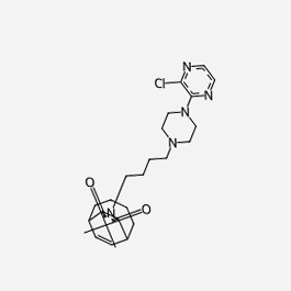 O=C1C2C3C=CC(CCCC3)C2C(=O)N1CCCCN1CCN(c2nccnc2Cl)CC1